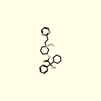 C[N+]1(CCc2ncccn2)CCC[C@@H](OC(=O)C(O)(c2ccccc2)C2CCCCC2)C1